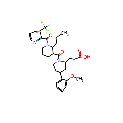 CCCC1C(C(=O)N2CCC(c3ccccc3OC)CC2CCC(=O)O)CCCN1C(=O)c1ncccc1C(F)(F)F